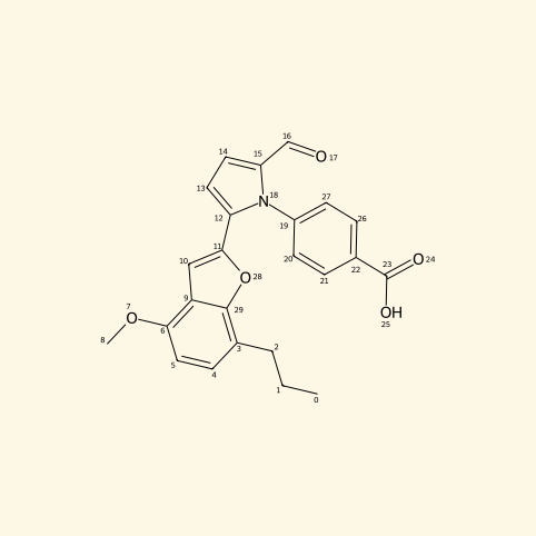 CCCc1ccc(OC)c2cc(-c3ccc(C=O)n3-c3ccc(C(=O)O)cc3)oc12